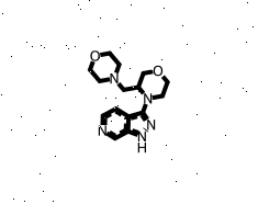 c1cc2c(N3CCOCC3CN3CCOCC3)n[nH]c2cn1